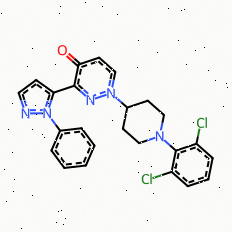 O=c1ccn(C2CCN(c3c(Cl)cccc3Cl)CC2)nc1-c1ccnn1-c1ccccc1